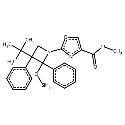 COC(=O)c1coc(N2CC(c3ccccc3)(C(C)(C)C)C2(O[SiH3])c2ccccc2)n1